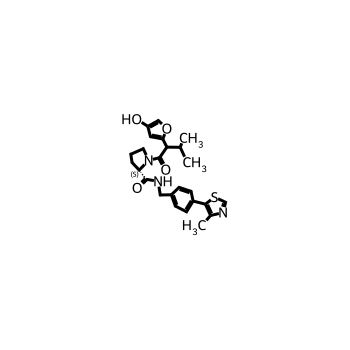 Cc1ncsc1-c1ccc(CNC(=O)[C@@H]2CCCN2C(=O)C(c2cc(O)co2)C(C)C)cc1